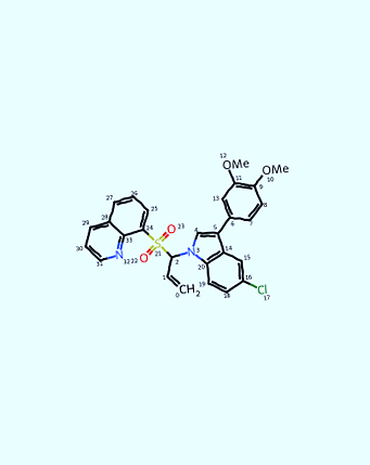 C=CC(n1cc(-c2ccc(OC)c(OC)c2)c2cc(Cl)ccc21)S(=O)(=O)c1cccc2cccnc12